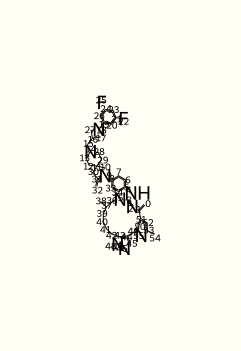 C=C1/N=C2\Nc3ccc(N4CC5(CCN(CC6CN(c7cc(F)cc(F)c7)C6)CC5)CC4=C)cc3N2C[C@H](C)CCCCc2c(cnn2C)-c2cc1cc(C)n2